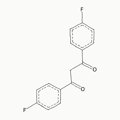 O=C(CC(=O)c1ccc(F)cc1)c1ccc(F)cc1